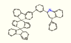 c1ccc(-c2cc(-c3cccc(-c4ccc5c(c4)-c4ccccc4C54c5ccccc5C5(c6ccccc6-c6ccccc65)c5ccccc54)c3)nc3ccccc23)cc1